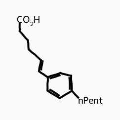 CCCCCc1ccc(/C=C/CCCC(=O)O)cc1